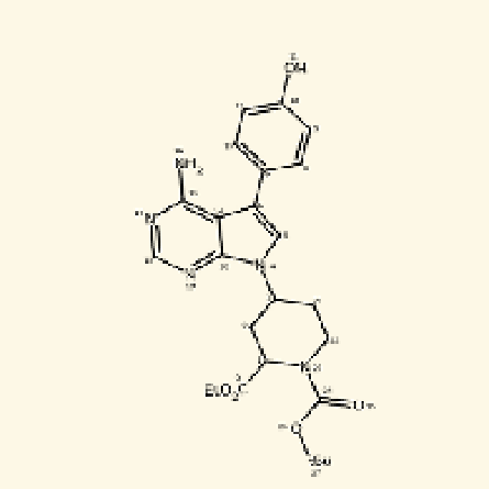 CCOC(=O)C1CC(n2cc(-c3ccc(O)cc3)c3c(N)ncnc32)CCN1C(=O)OC(C)(C)C